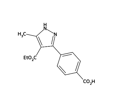 CCOC(=O)c1c(-c2ccc(C(=O)O)cc2)n[nH]c1C